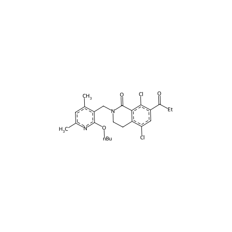 CCCCOc1nc(C)cc(C)c1CN1CCc2c(Cl)cc(C(=O)CC)c(Cl)c2C1=O